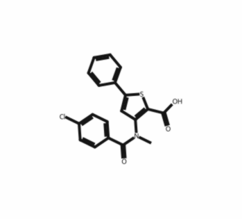 CN(C(=O)c1ccc(Cl)cc1)c1cc(-c2ccccc2)sc1C(=O)O